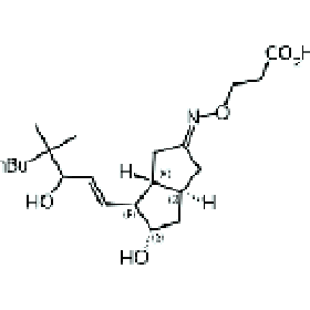 CCCCC(C)(C)C(O)C=C[C@H]1[C@@H]2CC(=NOCCC(=O)O)C[C@H]2C[C@@H]1O